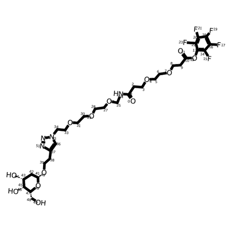 O=C(CCOCCOCCC(=O)Oc1c(F)c(F)c(F)c(F)c1F)NCOCCOCCOCCn1cc(CCO[C@H]2C[C@@H](O)[C@@H](O)[C@@H](CO)O2)nn1